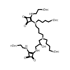 CCCCCCCCCCCCCCN(CCCCN(CCCCCCCCCCCCCC)c1c(NCCCCCCCCCCCC)c(=O)c1=O)CC(O)CNc1c(NCCCCCCCCCCCC)c(=O)c1=O